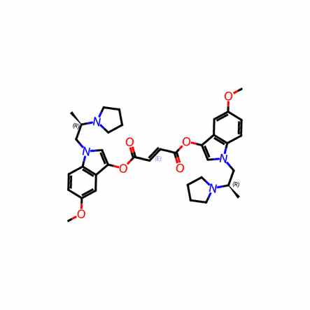 COc1ccc2c(c1)c(OC(=O)/C=C/C(=O)Oc1cn(C[C@@H](C)N3CCCC3)c3ccc(OC)cc13)cn2C[C@@H](C)N1CCCC1